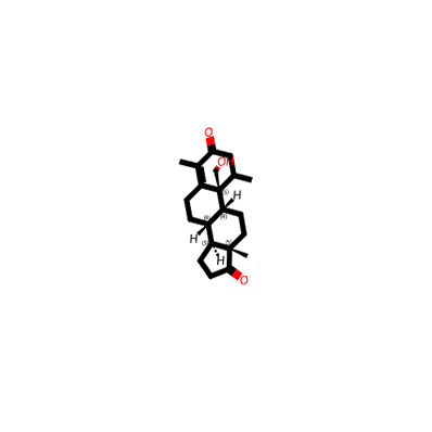 CC1=C2CC[C@@H]3[C@@H](CC[C@]4(C)C(=O)CC[C@@H]34)[C@@]2(CO)C(C)CC1=O